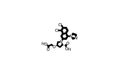 O=C(O)CO[C@H]1C[C@@H](C(=O)O)N(c2cc(-n3ccnc3)c3ccc(Cl)c(Cl)c3c2)C1